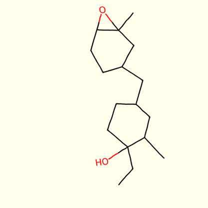 CCC1(O)CCC(CC2CCC3OC3(C)C2)CC1C